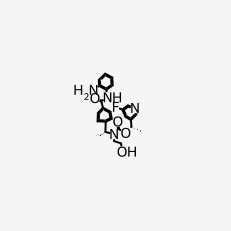 C[C@H](OC(=O)N(CCO)[C@H](C)c1ccc(C(=O)Nc2ccccc2N)cc1)c1cncc(F)c1